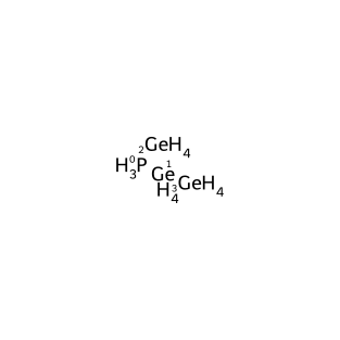 P.[GeH4].[GeH4].[GeH4]